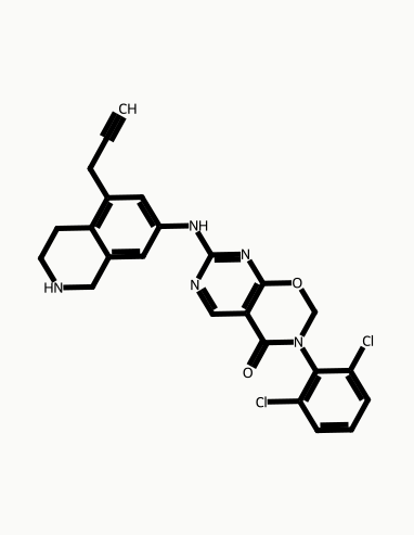 C#CCc1cc(Nc2ncc3c(n2)OCN(c2c(Cl)cccc2Cl)C3=O)cc2c1CCNC2